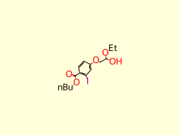 CCCCOC(=O)c1ccc(OCC(O)OCC)cc1I